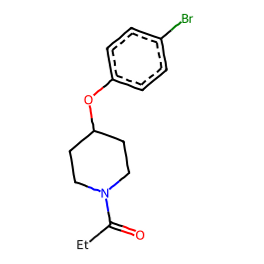 CCC(=O)N1CCC(Oc2ccc(Br)cc2)CC1